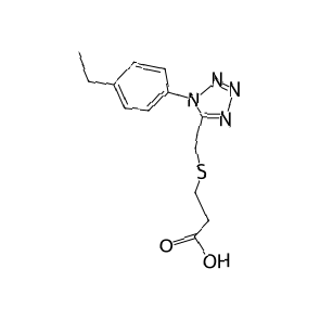 CCc1ccc(-n2nnnc2CSCCC(=O)O)cc1